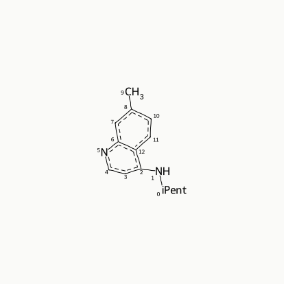 CCCC(C)Nc1ccnc2cc(C)ccc12